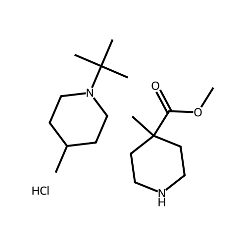 CC1CCN(C(C)(C)C)CC1.COC(=O)C1(C)CCNCC1.Cl